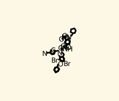 N#Cc1ccc(CN2Cc3c(cc(Br)c(OCc4ccccc4)c3Br)C[C@H]2C(=O)NS(=O)(=O)c2ccc(NCC3CCCCC3)c([N+](=O)[O-])c2)cc1